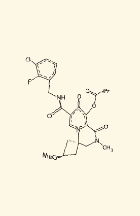 CO[C@H]1C[C@]2(CN(C)C(=O)c3c(OC(=O)C(C)C)c(=O)c(C(=O)NCc4cccc(Cl)c4F)cn32)C1